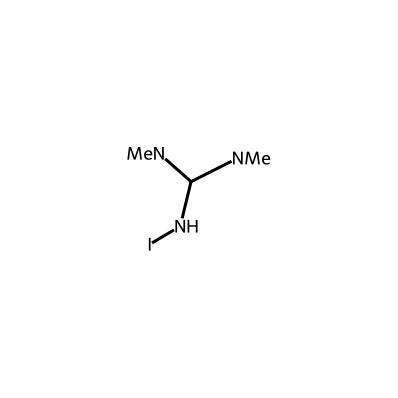 CNC(NC)NI